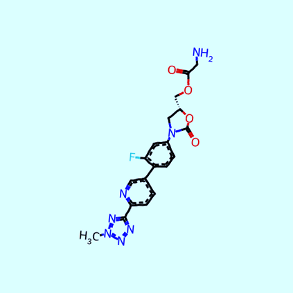 Cn1nnc(-c2ccc(-c3ccc(N4C[C@H](COC(=O)CN)OC4=O)cc3F)cn2)n1